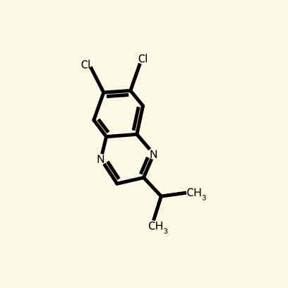 CC(C)c1cnc2cc(Cl)c(Cl)cc2n1